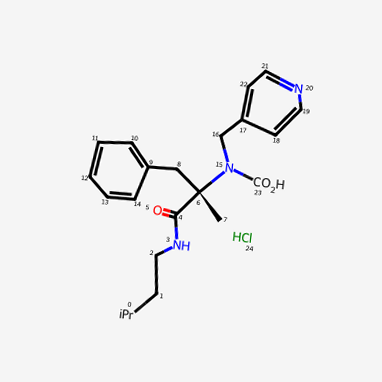 CC(C)CCNC(=O)[C@](C)(Cc1ccccc1)N(Cc1ccncc1)C(=O)O.Cl